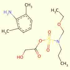 CCCN(COCC)S(=O)(=O)OC(=O)CO.Cc1cccc(C)c1N